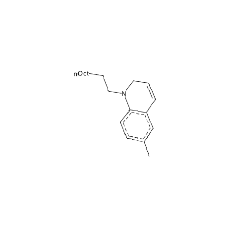 CCCCCCCCCCN1CC=Cc2cc(C)ccc21